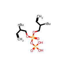 C=CC(CCCC)COP(=O)(OCC(C=C)CCCC)OP(=O)(O)O